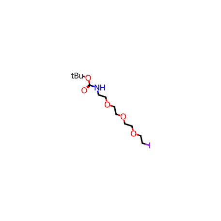 CC(C)(C)OC(=O)NCCOCCOCCOCCI